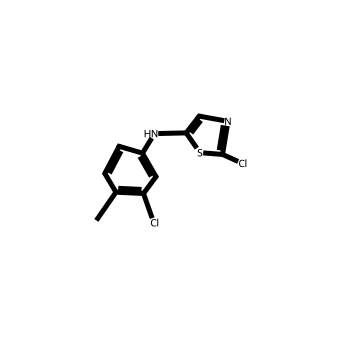 Cc1ccc(Nc2cnc(Cl)s2)cc1Cl